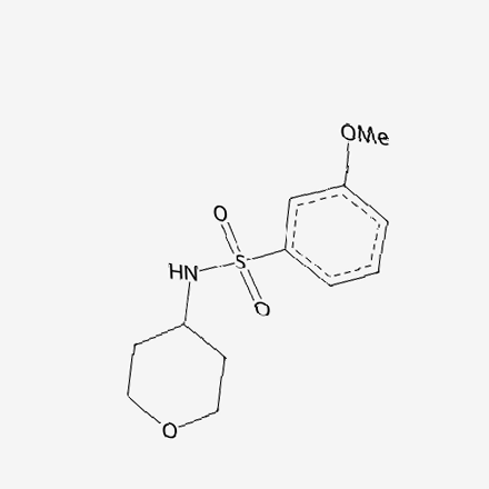 COc1cccc(S(=O)(=O)NC2CCOCC2)c1